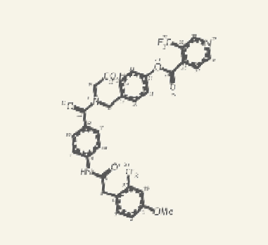 COc1ccc(CC(=O)Nc2ccc(C(=O)N(CC(=O)O)Cc3ccc(OC(=O)c4ccncc4C(F)(F)F)cc3)cc2)c(C(F)(F)F)c1